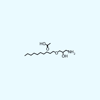 CC(=O)O.CCCCCCCCCCOCC(O)CN